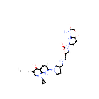 O=C1COc2ccc(N3CC(CNCC4CCN(c5nc6c(cc5F)c(=O)c(C(=O)O)cn6C5CC5)C4)OC3=O)nc2N1